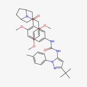 COc1cc(OC)c(C(=O)N2C3CCC2CC(Cc2cccc(NC(=O)Nc4cc(C(C)(C)C)nn4-c4ccc(C)cc4)c2)C3)c(OC)c1